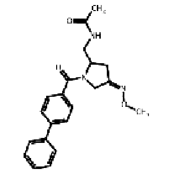 CON=C1CC(CNC(C)=O)N(C(=O)c2ccc(-c3ccccc3)cc2)C1